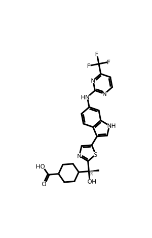 C[C@](O)(c1ncc(-c2c[nH]c3cc(Nc4nccc(C(F)(F)F)n4)ccc23)s1)C1CCC(C(=O)O)CC1